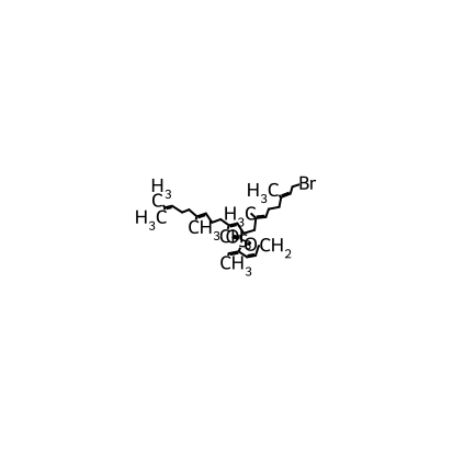 C=C/C=C\C(=C/C)S(=O)(=O)C(/C=C(\C)CC/C=C(\C)CCC=C(C)C)C/C(C)=C/CC/C(C)=C/CBr